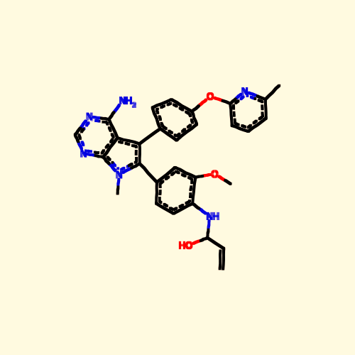 C=CC(O)Nc1ccc(-c2c(-c3ccc(Oc4cccc(C)n4)cc3)c3c(N)ncnc3n2C)cc1OC